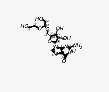 Nc1nc2c(ncn2[C@@H]2O[C@H](COC(CO)OCCO)[C@@H](O)[C@H]2O)c(=O)[nH]1